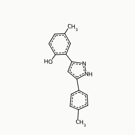 Cc1ccc(-c2cc(-c3cc(C)ccc3O)n[nH]2)cc1